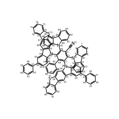 N#Cc1c(-n2c3ccccc3c3ccccc32)c(-n2c3ccc(-c4ccccc4)cc3c3cc4c(cc32)sc2ccccc24)c(-c2ccccc2)c(-n2c3ccc(-c4ccccc4)cc3c3cc4c(cc32)sc2ccccc24)c1-n1c2ccccc2c2ccccc21